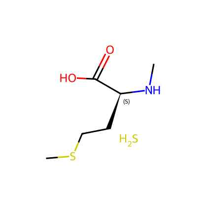 CN[C@@H](CCSC)C(=O)O.S